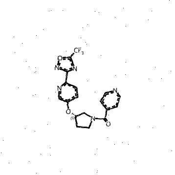 O=C(c1ccncc1)N1CC[C@H](Oc2ccc(-c3noc(C(F)(F)F)n3)nc2)C1